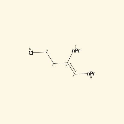 CCC/C=C(\CCC)CCCl